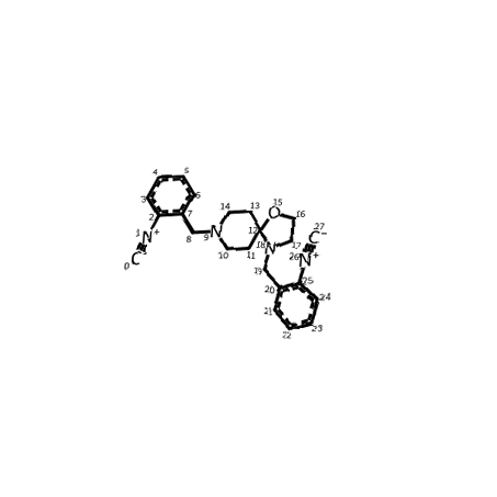 [C-]#[N+]c1ccccc1CN1CCC2(CC1)OCCN2Cc1ccccc1[N+]#[C-]